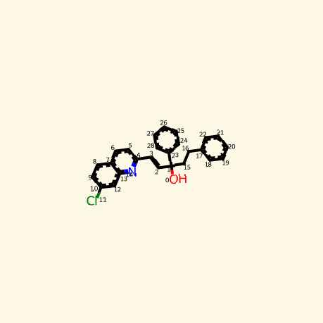 OC(C=Cc1ccc2ccc(Cl)cc2n1)(CCc1cc[c]cc1)c1ccccc1